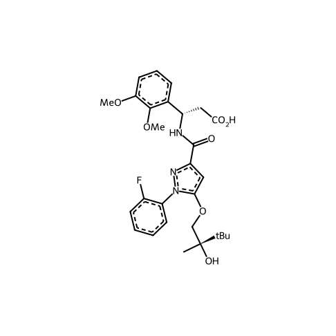 COc1cccc([C@H](CC(=O)O)NC(=O)c2cc(OC[C@@](C)(O)C(C)(C)C)n(-c3ccccc3F)n2)c1OC